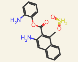 Cc1c(C(=O)Oc2ccccc2N)c(N)cc2ccccc12.O=[SH2]=O